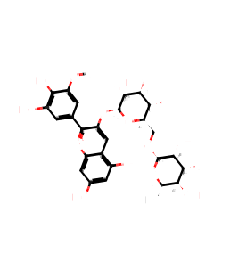 COc1cc(-c2[o+]c3cc(O)cc(O)c3cc2O[C@@H]2O[C@H](CO[C@@H]3O[C@@H](C)[C@H](O)[C@@H](O)[C@H]3O)[C@@H](O)[C@H](O)[C@H]2O)cc(O)c1O